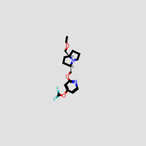 CCOC[C@@]12CCCN1[C@H](COc1cc(OC(F)F)ccn1)CC2